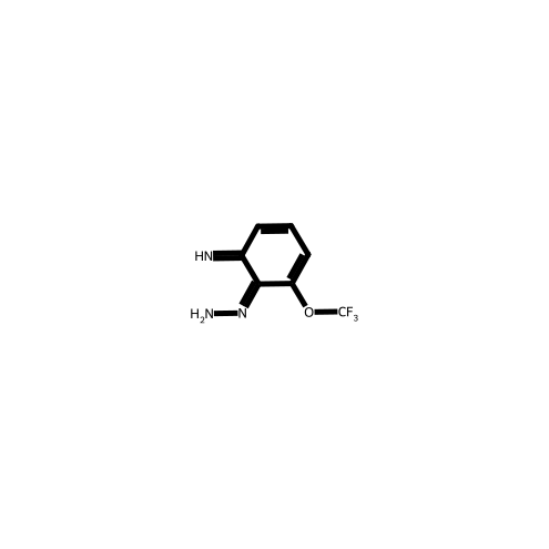 N=C1C=CC=C(OC(F)(F)F)/C1=N/N